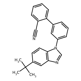 CC(C)(C)c1ccc2c(c1)ncn2-c1cccc(-c2ccccc2C#N)c1